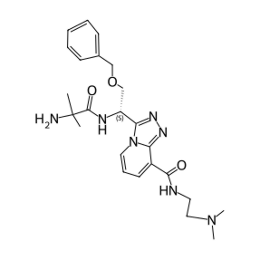 CN(C)CCNC(=O)c1cccn2c([C@@H](COCc3ccccc3)NC(=O)C(C)(C)N)nnc12